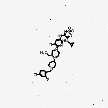 CC[C@H]1CN(c2ncc(NC3=NS(=O)(=O)N=C3NC3CC3)cc2Cl)CCN1C1CCN(Cc2ccc(Cl)cc2F)CC1